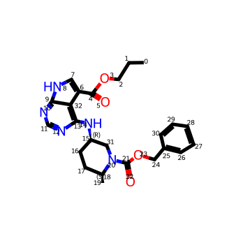 CCCOC(=O)c1c[nH]c2ncnc(N[C@@H]3CC[C@H](C)N(C(=O)OCc4ccccc4)C3)c12